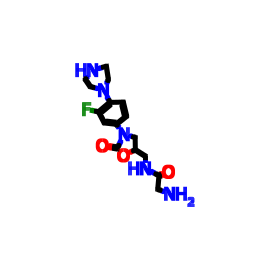 NCC(=O)NCC1CN(c2ccc(N3CCNCC3)c(F)c2)C(=O)O1